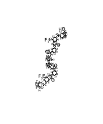 C[C@@H]1CN(Cc2cc3c(c(C(F)(F)F)c2)CN(c2cccc(C4(Cc5nnc(-c6nnc(CC7(c8cccc(N9Cc%10c(cc(CN%11CCC(F)(F)[C@H](CO)C%11)cc%10C(F)(F)F)C9=O)c8)COC7)n6C)n5C)COC4)c2)C3=O)C[C@H](C)C1(F)F